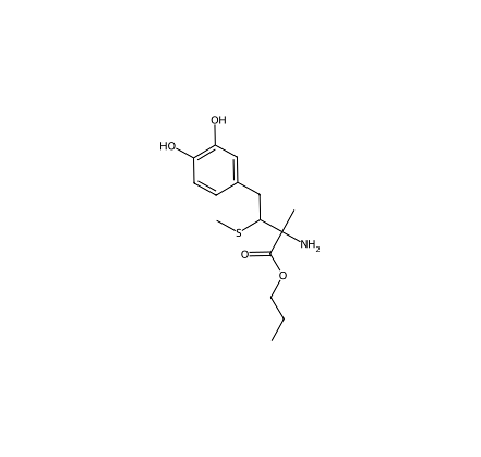 CCCOC(=O)C(C)(N)C(Cc1ccc(O)c(O)c1)SC